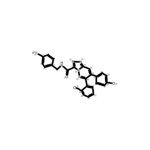 O=C(NCc1ccc(C(F)(F)F)cc1)c1nnc2cc(-c3ccc(Cl)cc3)c(-c3ccccc3Cl)nn12